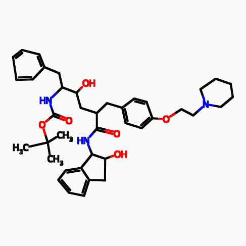 CC(C)(C)OC(=O)NC(Cc1ccccc1)C(O)CC(Cc1ccc(OCCN2CCCCC2)cc1)C(=O)NC1c2ccccc2CC1O